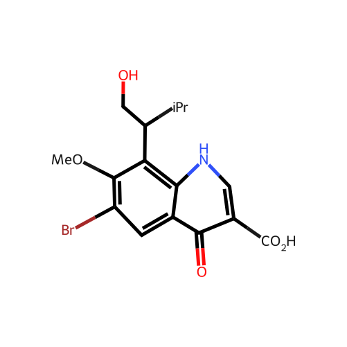 COc1c(Br)cc2c(=O)c(C(=O)O)c[nH]c2c1C(CO)C(C)C